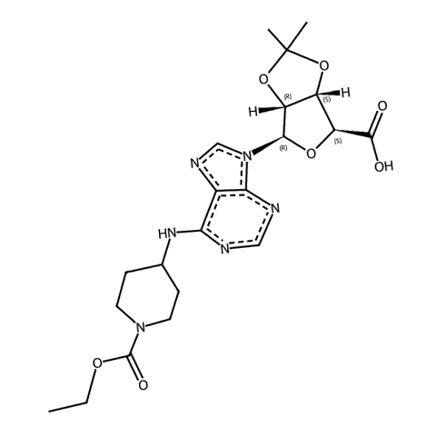 CCOC(=O)N1CCC(Nc2ncnc3c2ncn3[C@@H]2O[C@H](C(=O)O)[C@H]3OC(C)(C)O[C@H]32)CC1